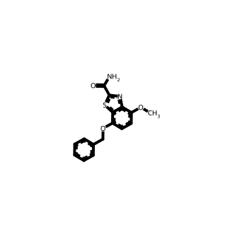 COc1ccc(OCc2ccccc2)c2sc(C(N)=O)nc12